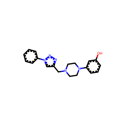 Oc1cccc(N2CCN(Cc3cn(-c4ccccc4)nn3)CC2)c1